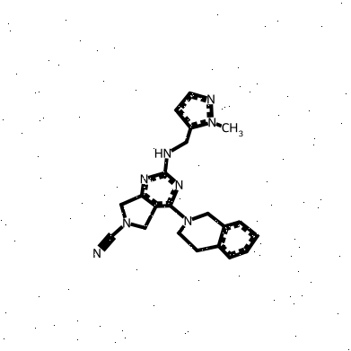 Cn1nccc1CNc1nc2c(c(N3CCc4ccccc4C3)n1)CN(C#N)C2